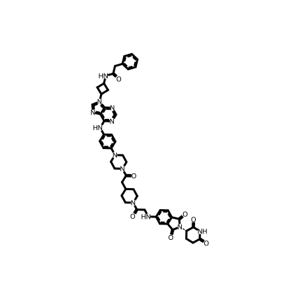 O=C1CC[C@H](N2C(=O)c3ccc(NCC(=O)N4CCC(CC(=O)N5CCN(c6ccc(Nc7ncnc8c7ncn8C7CC(NC(=O)Cc8ccccc8)C7)cc6)CC5)CC4)cc3C2=O)C(=O)N1